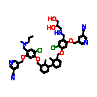 CCCN(C)Cc1cc(Cl)c(OCc2cccc(-c3cccc(COc4cc(OCc5cncc(C#N)c5)c(CNC[C@@H](O)CO)cc4Cl)c3C)c2C)cc1OCc1cncc(C#N)c1